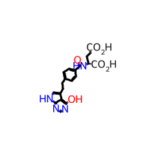 O=C(O)CC[C@H](NC(=O)c1ccc(CCc2c[nH]c3ncnc(O)c23)cc1)C(=O)O